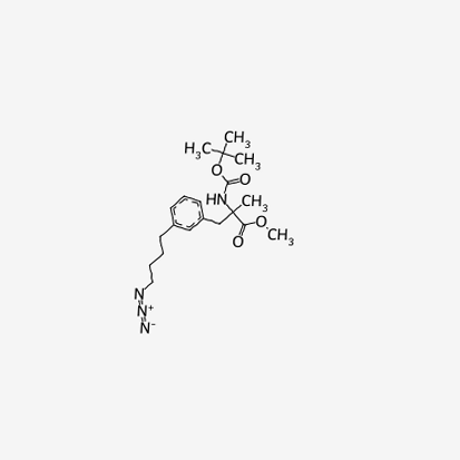 COC(=O)C(C)(Cc1cccc(CCCCN=[N+]=[N-])c1)NC(=O)OC(C)(C)C